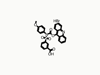 Br.COc1ccc(N(C(=O)Oc2c3ccccc3nc3ccccc23)S(=O)(=O)c2cccc(C(=O)O)c2)cc1